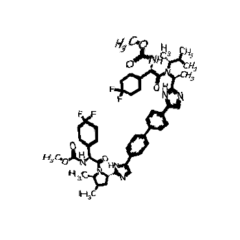 COC(=O)N[C@H](C(=O)N([C@H](C)C(C)C)[C@@H](C)c1ncc(-c2ccc(-c3ccc(-c4cnc([C@@H]5CC(C)[C@@H](C)N5C(=O)[C@@H](NC(=O)OC)C5CCC(F)(F)CC5)[nH]4)cc3)cc2)[nH]1)C1CCC(F)(F)CC1